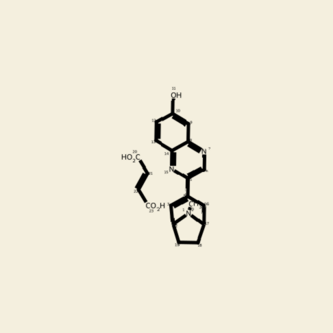 CN1C2C=C(c3cnc4cc(O)ccc4n3)CC1CC2.O=C(O)C=CC(=O)O